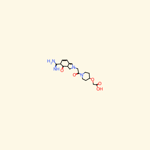 N=C(N)C1C=CC2=CN(CC(=O)N3CCC(OCC(=O)O)CC3)CC2C1=O